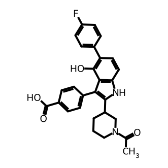 CC(=O)N1CCCC(c2[nH]c3ccc(-c4ccc(F)cc4)c(O)c3c2-c2ccc(C(=O)O)cc2)C1